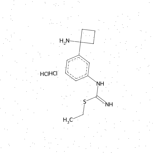 CCSC(=N)Nc1cccc(C2(N)CCC2)c1.Cl.Cl